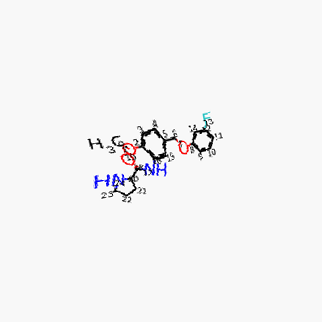 COc1ccc(COc2cccc(F)c2)cc1NC(=O)C1CCCN1